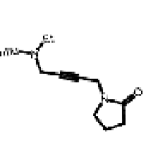 CCCCN(CC)CC#CCN1CCCC1=O